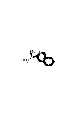 CC(C)(C)N(C(=O)O)c1cc2ccccc2cn1